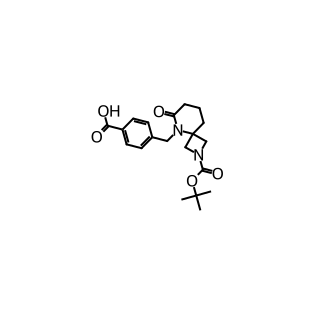 CC(C)(C)OC(=O)N1CC2(CCCC(=O)N2Cc2ccc(C(=O)O)cc2)C1